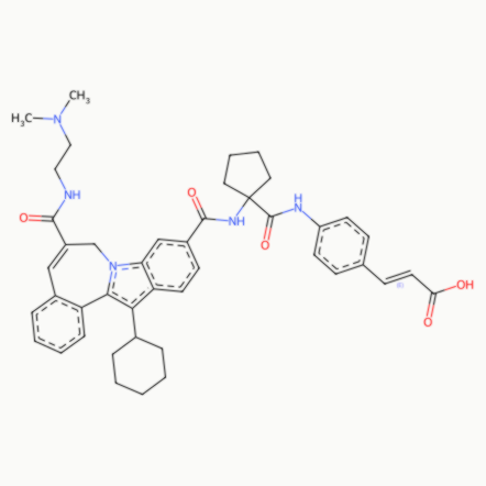 CN(C)CCNC(=O)C1=Cc2ccccc2-c2c(C3CCCCC3)c3ccc(C(=O)NC4(C(=O)Nc5ccc(/C=C/C(=O)O)cc5)CCCC4)cc3n2C1